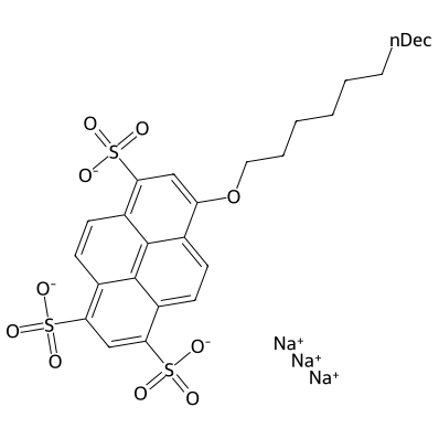 CCCCCCCCCCCCCCCCOc1cc(S(=O)(=O)[O-])c2ccc3c(S(=O)(=O)[O-])cc(S(=O)(=O)[O-])c4ccc1c2c43.[Na+].[Na+].[Na+]